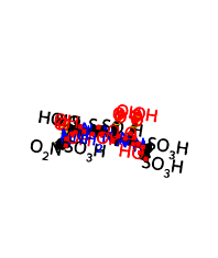 Cc1cc(N=Nc2c(S(=O)(=O)O)cc3c(S(=O)(=O)O)c(N=Nc4cc(S(=O)(=O)O)c5cc(SOOO)c(N=Nc6ccc([N+](=O)[O-])cc6S(=O)(=O)O)c(O)c5c4N)ccc3c2O)c(OCCCSOOO)cc1N=Nc1ccc(N=Nc2cc(S(=O)(=O)O)cc3cc(S(=O)(=O)O)cc(O)c23)cc1OCCCSOOO